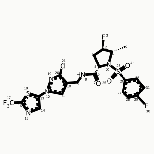 C[C@H]1[C@H](F)C[C@@H](C(=O)NCc2cn(-c3cnc(C(F)(F)F)s3)nc2Cl)N1S(=O)(=O)c1ccc(F)cc1